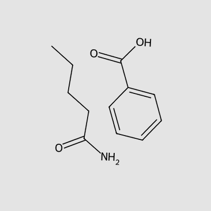 CCCCC(N)=O.O=C(O)c1ccccc1